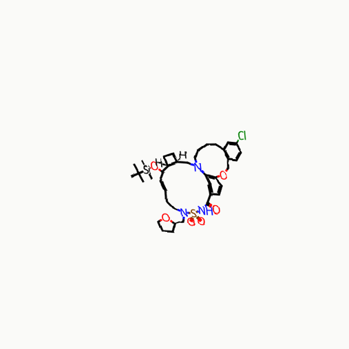 CC(C)(C)[Si](C)(C)OC1/C=C/CCN(C[C@H]2CCCO2)S(=O)(=O)NC(=O)c2ccc3c(c2)N(CCCCc2cc(Cl)ccc2CO3)C[C@@H]2CC[C@@H]12